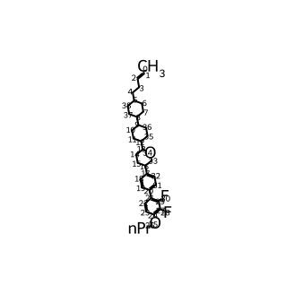 C/C=C/CCC1CCC(C2CCC(C3CCC(c4ccc(-c5ccc(OCCC)c(F)c5F)cc4)CO3)CC2)CC1